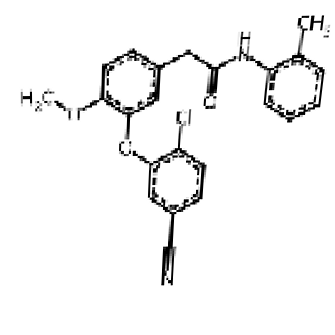 COc1ccc(CC(=O)Nc2ccccc2C)cc1Oc1cc(C#N)ccc1Cl